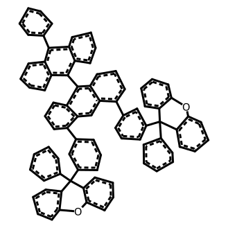 c1ccc(-c2c3ccccc3c(-c3c4cccc(-c5cccc(C6(c7ccccc7)c7ccccc7Oc7ccccc76)c5)c4cc4c(-c5cccc(C6(c7ccccc7)c7ccccc7Oc7ccccc76)c5)cccc34)c3ccccc23)cc1